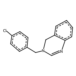 Clc1ccc(CN2C=Nc3ccccc3C2)cc1